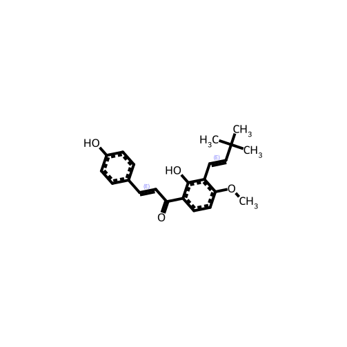 COc1ccc(C(=O)/C=C/c2ccc(O)cc2)c(O)c1/C=C/C(C)(C)C